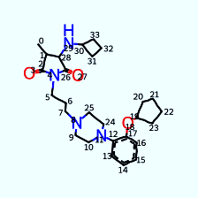 CC1C(=O)N(CCCN2CCN(c3ccccc3OC3CCCC3)CC2)C(=O)C1NC1CCC1